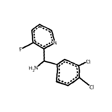 NC(c1ccc(Cl)c(Cl)c1)c1ncccc1F